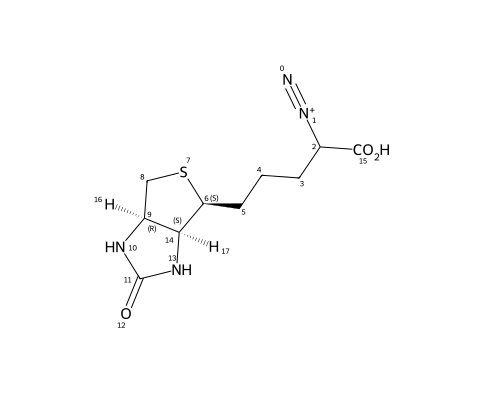 N#[N+]C(CCC[C@@H]1SC[C@@H]2NC(=O)N[C@@H]21)C(=O)O